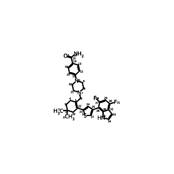 CC1(C)CCC(CN2CCN(c3ccc(C(N)=O)cc3)CC2)=C(c2cc(-c3c(F)cc(F)c4cc[nH]c34)cs2)C1